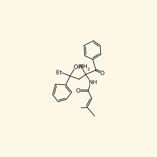 CCC(O)(CC(N)(NC(=O)C=C(C)C)C(=O)c1ccccc1)c1ccccc1